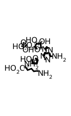 NCCCC[C@H](N)C(=O)O.Nc1ncnc2c1ncn2[C@@H]1O[C@H](COP(=O)(O)O)[C@@H](O)[C@H]1O.Oc1ccco1